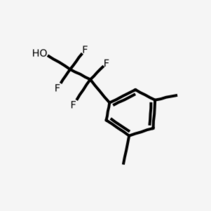 Cc1cc(C)cc(C(F)(F)C(O)(F)F)c1